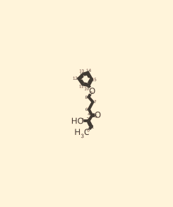 CC=C(O)C(=O)CCCOc1cc[c]cc1